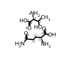 CC(O)[C@H](N)C(=O)O.NC(=O)CC[C@H](N)C(=O)O